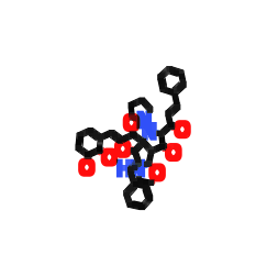 O=C1C=CC=C(C=CC(=O)C2(C(=O)C=Cc3ccccc3)C(C3NCCO3)C(=O)C(C(=O)C=Cc3ccccc3)N2N2CCCC2)C1=O